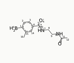 Bc1ccc([S@+]([O-])NCCNC(C)=O)cc1C